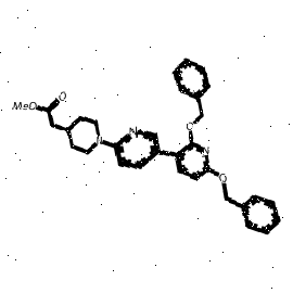 COC(=O)CC1CCN(c2ccc(-c3ccc(OCc4ccccc4)nc3OCc3ccccc3)cn2)CC1